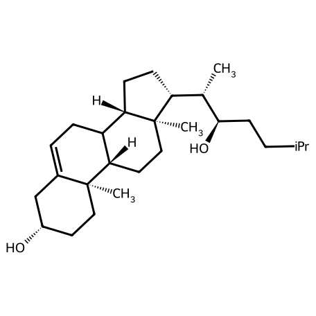 CC(C)CC[C@@H](O)[C@@H](C)[C@H]1CC[C@H]2C3CC=C4C[C@@H](O)CC[C@]4(C)[C@H]3CC[C@]12C